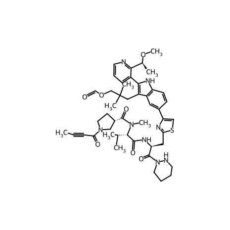 CC#CC(=O)N1CC[C@H](C(=O)N(C)[C@H](C(=O)N[C@@H](Cc2nc(-c3ccc4[nH]c(-c5cccnc5[C@H](C)OC)c(CC(C)(C)COC=O)c4c3)cs2)C(=O)N2CCCCN2)C(C)C)C1